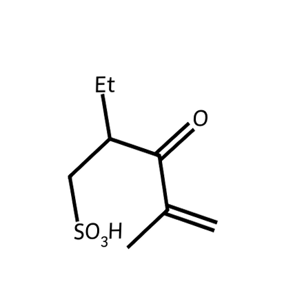 C=C(C)C(=O)C(CC)CS(=O)(=O)O